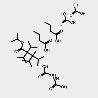 CC(C)OC(=O)C(C(C)C)(C(C)C)C(C)(C(C)C)C(C)C.CCCC(=O)O.CCCC(=O)O.O=C(O)O.O=C(O)O.O=C(O)O.O=C(O)O